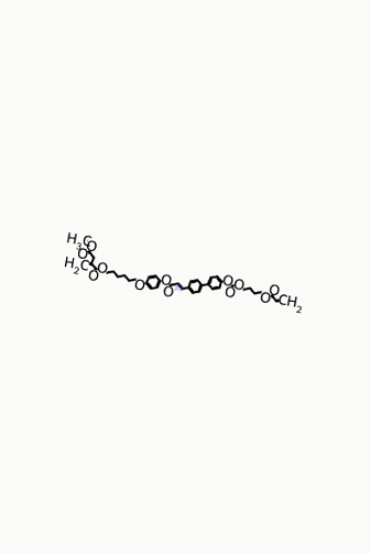 C=CC(=O)OCCCCOC(=O)Oc1ccc(-c2ccc(/C=C/C(=O)Oc3ccc(OCCCCCCOC(=O)C(=C)CC(=O)OC)cc3)cc2)cc1